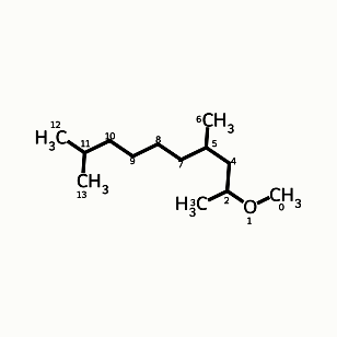 COC(C)CC(C)CCCCC(C)C